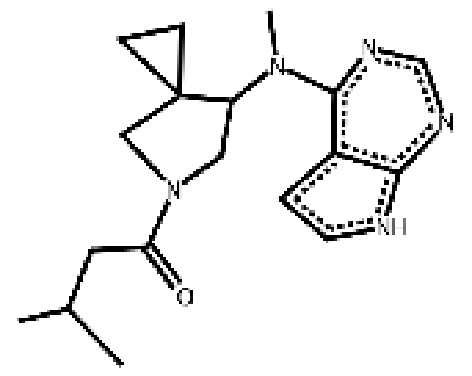 CC(C)CC(=O)N1CC(N(C)c2ncnc3[nH]ccc23)C2(CC2)C1